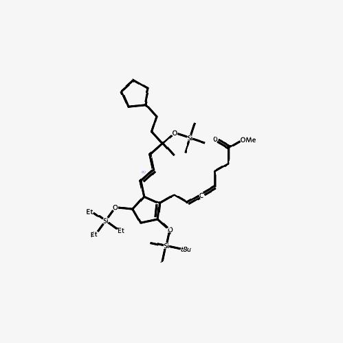 CC[Si](CC)(CC)OC1CC(O[Si](C)(C)C(C)(C)C)=C(CC=C=CCCC(=O)OC)C1/C=C/CC(C)(CCC1CCCC1)O[Si](C)(C)C